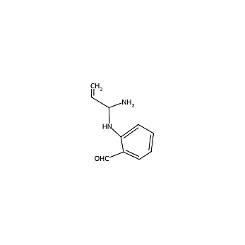 C=CC(N)Nc1ccccc1C=O